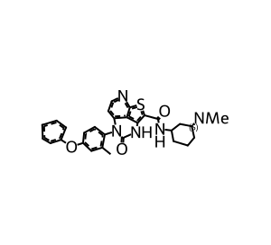 CN[C@H]1CCCC(NC(=O)c2sc3nccc4c3c2NC(=O)N4c2ccc(Oc3ccccc3)cc2C)C1